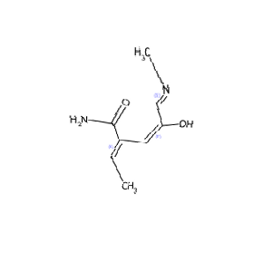 C\C=C(/C=C(O)\C=N\C)C(N)=O